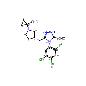 O=CC1NN=C(C[C@@H]2CCN(C3(C=O)CC3)C2)N1c1cc(Cl)c(Br)cc1F